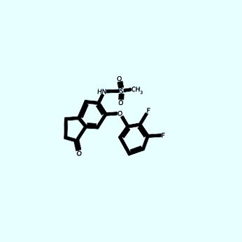 CS(=O)(=O)Nc1cc2c(cc1Oc1cccc(F)c1F)C(=O)CC2